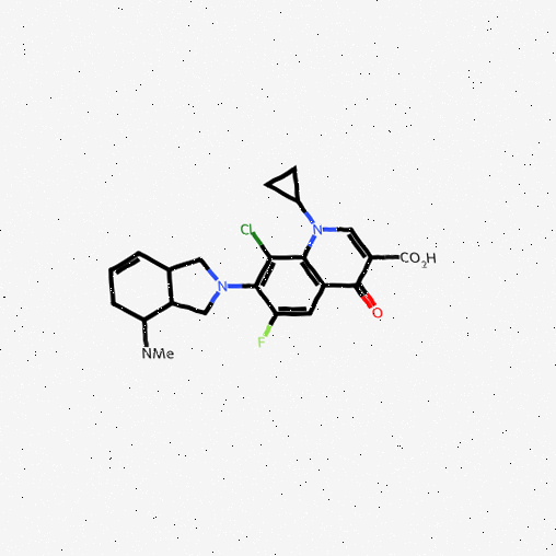 CNC1CC=CC2CN(c3c(F)cc4c(=O)c(C(=O)O)cn(C5CC5)c4c3Cl)CC21